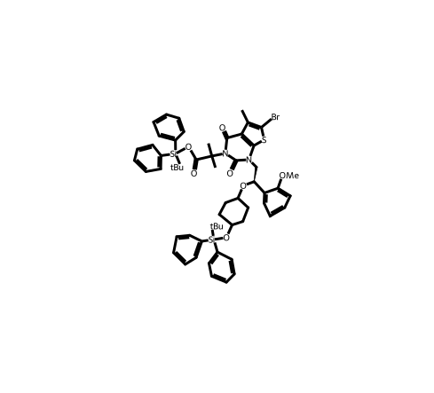 COc1ccccc1[C@H](Cn1c(=O)n(C(C)(C)C(=O)O[Si](c2ccccc2)(c2ccccc2)C(C)(C)C)c(=O)c2c(C)c(Br)sc21)OC1CCC(O[Si](c2ccccc2)(c2ccccc2)C(C)(C)C)CC1